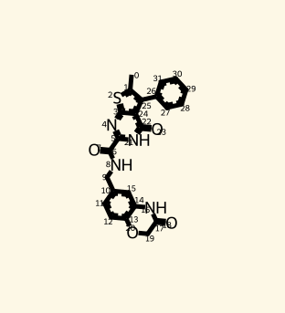 Cc1sc2nc(C(=O)NCc3ccc4c(c3)NC(=O)CO4)[nH]c(=O)c2c1-c1ccccc1